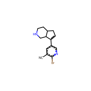 N#Cc1cc(C2=CCC3CCNCC23)cnc1Br